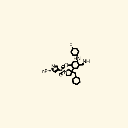 CCCn1cc(S(=O)(=O)N2CCC(CC3CCCCC3)(C3CC(C=N)C(NC4CCC(F)CC4)CC3Cl)C2)cn1